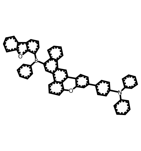 c1ccc(B(c2cc3c4cccc5c4c(cc3c3ccccc23)-c2ccc(-c3ccc(N(c4ccccc4)c4ccccc4)cc3)cc2O5)c2cccc3c2oc2ccccc23)cc1